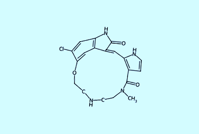 CN1CCNCCOc2cc3c(cc2Cl)NC(=O)/C3=C\c2[nH]ccc2C1=O